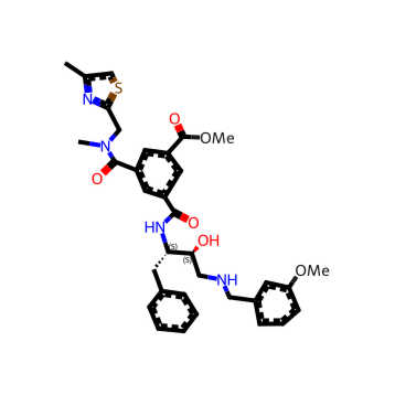 COC(=O)c1cc(C(=O)N[C@@H](Cc2ccccc2)[C@@H](O)CNCc2cccc(OC)c2)cc(C(=O)N(C)Cc2nc(C)cs2)c1